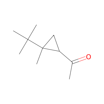 CC(=O)C1CC1(C)C(C)(C)C